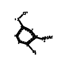 CCc1ccc(SCl)cc1NC(C)=O